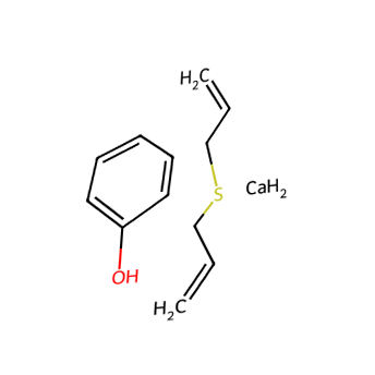 C=CCSCC=C.Oc1ccccc1.[CaH2]